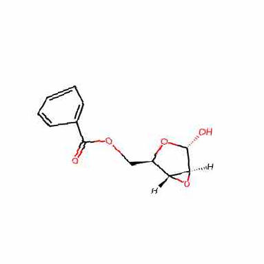 O=C(OC[C@H]1O[C@H](O)[C@H]2O[C@@H]21)c1ccccc1